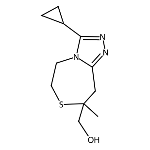 CC1(CO)Cc2nnc(C3CC3)n2CCS1